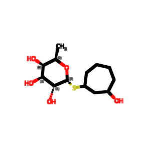 C[C@H]1O[C@H](SC2CCCCC(O)C2)[C@H](O)[C@@H](O)[C@H]1O